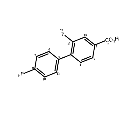 O=C(O)c1ccc(-c2ccc(F)cc2)c(F)c1